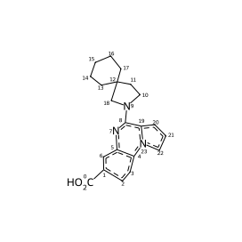 O=C(O)c1ccc2c(c1)nc(N1CCC3(CCCCC3)C1)c1cccn12